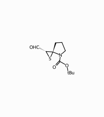 CC(C)(C)OC(=O)N1CCC[C@]12S[C@@H]2C=O